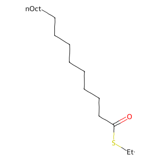 C[CH]SC(=O)CCCCCCCCCCCCCCCC